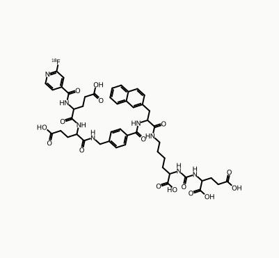 O=C(O)CCC(NC(=O)NC(CCCCNC(=O)C(Cc1ccc2ccccc2c1)NC(=O)c1ccc(CNC(=O)C(CCC(=O)O)NC(=O)C(CCC(=O)O)NC(=O)c2ccnc([18F])c2)cc1)C(=O)O)C(=O)O